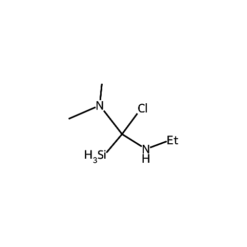 CCNC([SiH3])(Cl)N(C)C